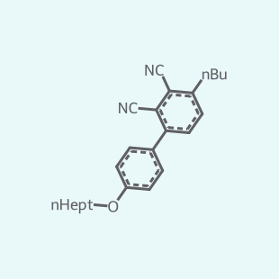 CCCCCCCOc1ccc(-c2ccc(CCCC)c(C#N)c2C#N)cc1